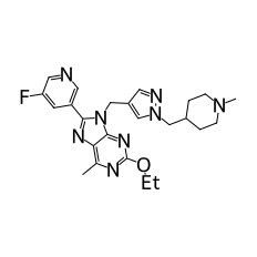 CCOc1nc(C)c2nc(-c3cncc(F)c3)n(Cc3cnn(CC4CCN(C)CC4)c3)c2n1